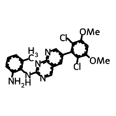 COc1cc(OC)c(Cl)c(-c2cnc3nc(Nc4c(C)cccc4N)ncc3c2)c1Cl